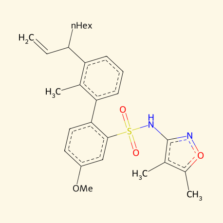 C=CC(CCCCCC)c1cccc(-c2ccc(OC)cc2S(=O)(=O)Nc2noc(C)c2C)c1C